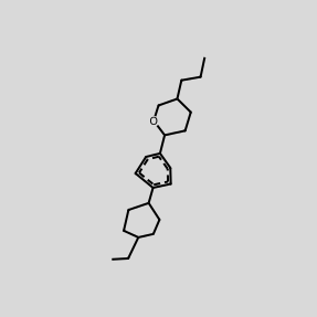 CCCC1CCC(c2ccc(C3CCC(CC)CC3)cc2)OC1